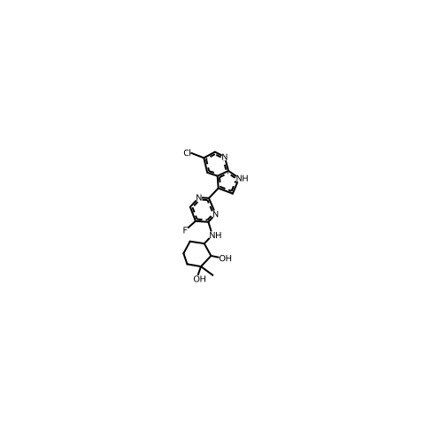 CC1(O)CCCC(Nc2nc(-c3c[nH]c4ncc(Cl)cc34)ncc2F)C1O